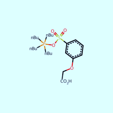 CCCCP(CCCC)(CCCC)(CCCC)OS(=O)(=O)c1cccc(OCC(=O)O)c1